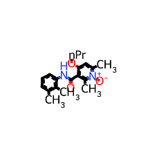 CCCOc1cc(C)[n+]([O-])c(C)c1C(=O)Nc1cccc(C)c1C